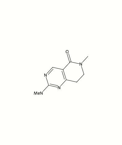 CNc1ncc2c(n1)CCN(C)C2=O